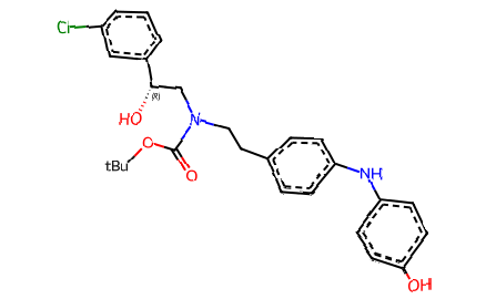 CC(C)(C)OC(=O)N(CCc1ccc(Nc2ccc(O)cc2)cc1)C[C@H](O)c1cccc(Cl)c1